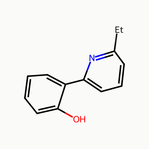 CCc1cccc(-c2ccccc2O)n1